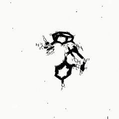 CC(C)(Oc1ccc(Cl)cc1Cl)/C(=N\C#N)NC1C2CC3CC1CC(S(C)(=O)=O)(C3)C2